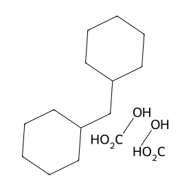 C1CCC(CC2CCCCC2)CC1.O=C(O)O.O=C(O)O